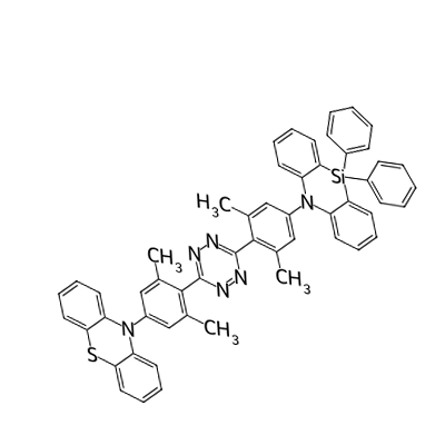 Cc1cc(N2c3ccccc3Sc3ccccc32)cc(C)c1-c1nnc(-c2c(C)cc(N3c4ccccc4[Si](c4ccccc4)(c4ccccc4)c4ccccc43)cc2C)nn1